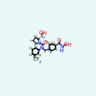 O=C(NO)c1ccc(CN(C(=O)N2CCC[C@@H]2CO)c2cccc(C(F)(F)F)c2)cc1